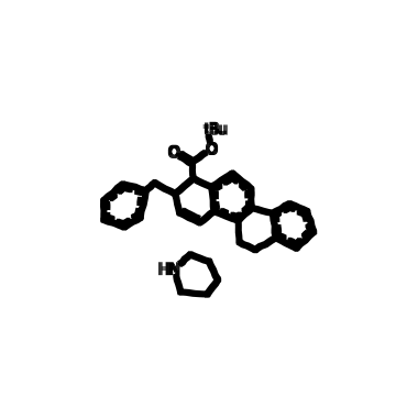 C1CCNCC1.CC(C)(C)OC(=O)C1c2ccc3c(c2C=CC1Cc1ccccc1)CCc1ccccc1-3